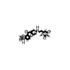 Cn1c(CCNN2CCC3(CC2)CC(=O)c2cc(NS(C)(=O)=O)ccc2O3)cc(=O)n(C)c1=O